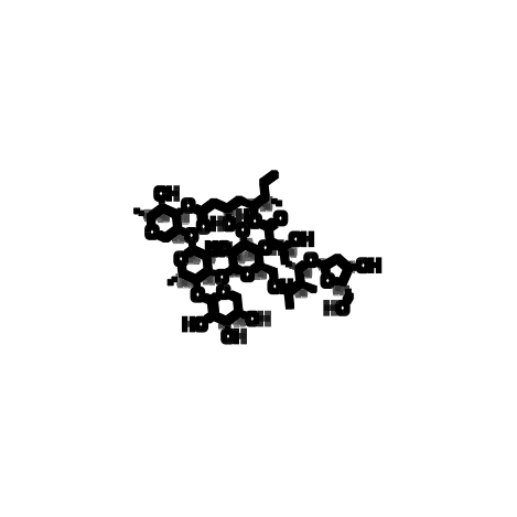 CC[C@H](C)[C@H](C[C@H](O)CC(=O)O[C@H]1[C@@H](O)[C@@H](C)OC[C@@H]1O[C@@H]1O[C@@H](C)[C@H](OC2=C(O)[C@@H](O)[C@H](O)CO2)[C@@H](O[C@@H]2O[C@H](CO)[C@@H](O)[C@H](O)[C@H]2O)[C@H]1O)OC(=O)C[C@@H](O)C[C@H](O[C@H]1C[C@@H](O)[C@H](CO)O1)[C@@H](C)CC